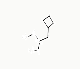 CO[SiH](CC1CCC1)OC